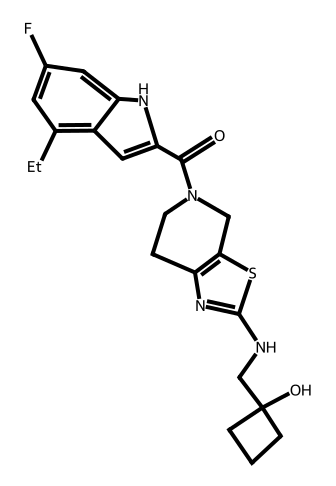 CCc1cc(F)cc2[nH]c(C(=O)N3CCc4nc(NCC5(O)CCC5)sc4C3)cc12